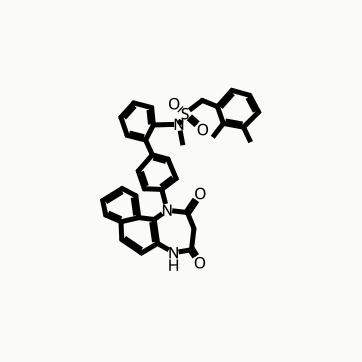 Cc1cccc(CS(=O)(=O)N(C)c2ccccc2-c2ccc(N3C(=O)CC(=O)Nc4ccc5ccccc5c43)cc2)c1C